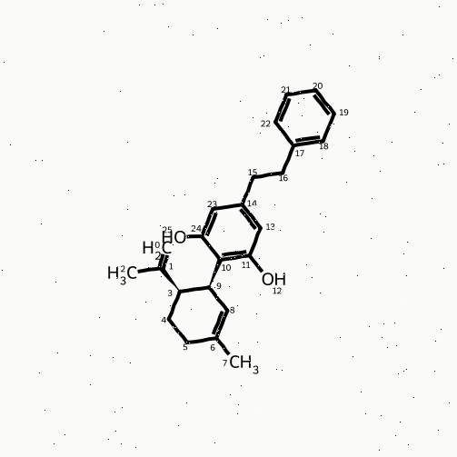 C=C(C)[C@@H]1CCC(C)=C[C@@H]1c1c(O)cc(CCc2ccccc2)cc1O